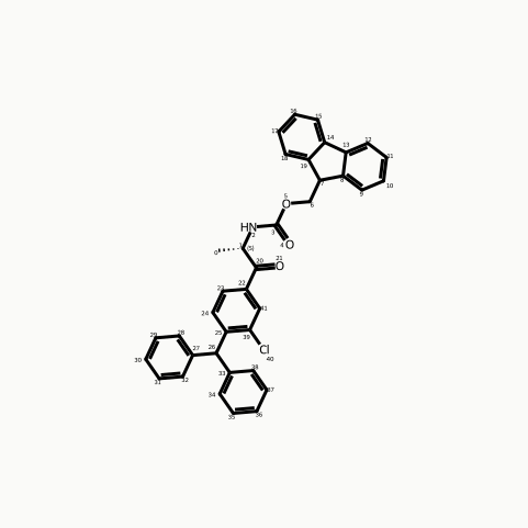 C[C@H](NC(=O)OCC1c2ccccc2-c2ccccc21)C(=O)c1ccc([C](c2ccccc2)c2ccccc2)c(Cl)c1